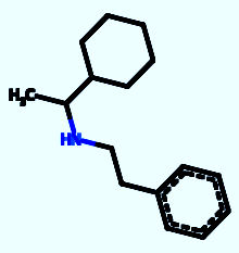 CC(NCCc1ccccc1)C1CCCCC1